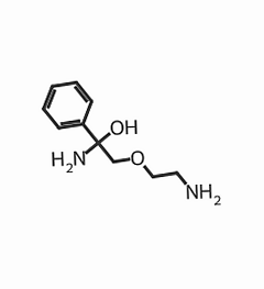 NCCOCC(N)(O)c1ccccc1